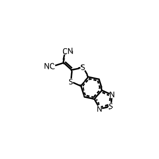 N#CC(C#N)=C1Sc2cc3nsnc3cc2S1